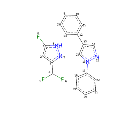 Fc1cc(C(F)F)n[nH]1.c1ccc(-c2cnn(-c3ccccc3)c2)cc1